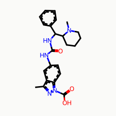 Cc1nn(C(=O)O)c2ccc(NC(=O)NC(c3ccccc3)C3CCCCN3C)cc12